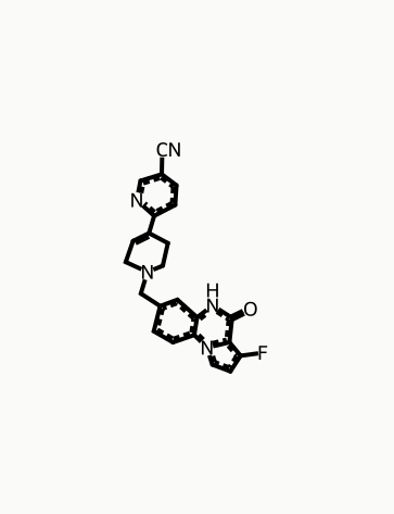 N#Cc1ccc(C2=CCN(Cc3ccc4c(c3)[nH]c(=O)c3c(F)ccn34)CC2)nc1